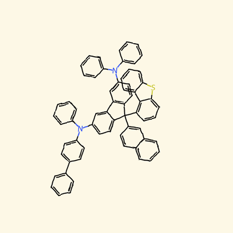 c1ccc(-c2ccc(N(c3ccccc3)c3ccc4c(c3)-c3cc(N(c5ccccc5)c5ccccc5)ccc3C4(c3ccc4ccccc4c3)c3cccc4sc5ccccc5c34)cc2)cc1